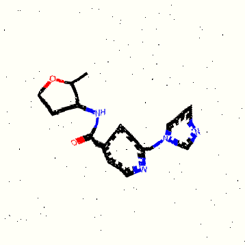 CC1OCCC1NC(=O)c1ccnc(-n2ccnc2)c1